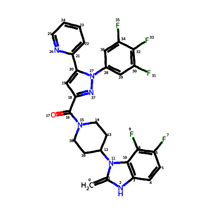 C=C1Nc2ccc(F)c(F)c2N1C1CCN(C(=O)c2cc(-c3ccccn3)n(-c3cc(F)c(F)c(F)c3)n2)CC1